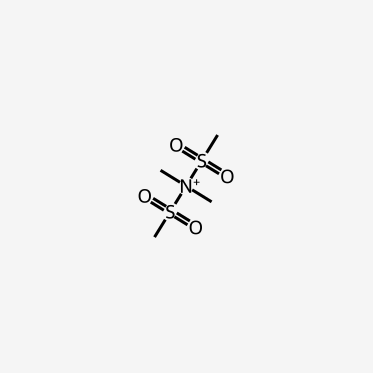 C[N+](C)(S(C)(=O)=O)S(C)(=O)=O